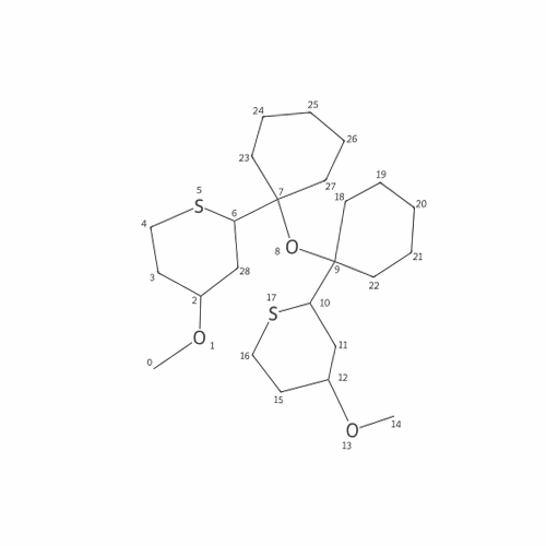 COC1CCSC(C2(OC3(C4CC(OC)CCS4)CCCCC3)CCCCC2)C1